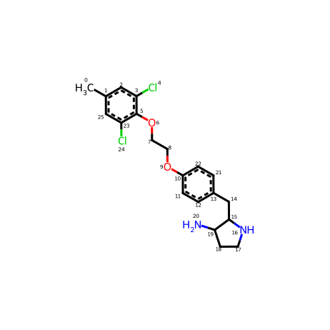 Cc1cc(Cl)c(OCCOc2ccc(CC3NCCC3N)cc2)c(Cl)c1